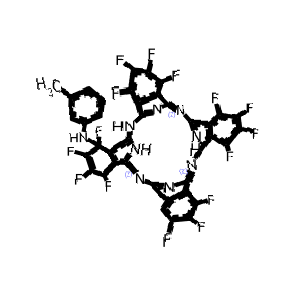 Cc1cccc(NC2(F)C(F)=C(F)C(F)=c3c2c2[nH]/c3=N\C3=NC(=N\c4[nH]c(c5c(F)c(F)c(F)c(F)c45)/N=C4\N=C(N2)c2c(F)c(F)c(F)c(F)c24)/c2c3cc(F)c(F)c2F)c1